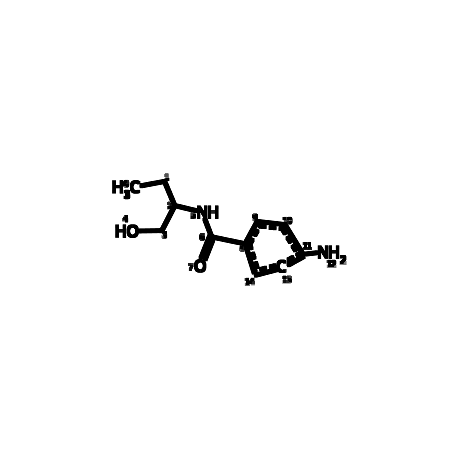 CCC(CO)NC(=O)c1ccc(N)cc1